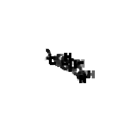 CCC(C)O[C@H]1CC[C@H]2[C@@H]3CC[C@H]4Cc5[nH]ncc5C[C@]4(C)[C@H]3CC[C@]12C